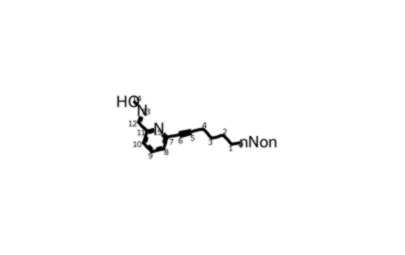 CCCCCCCCCCCCCC#Cc1cccc(C=NO)n1